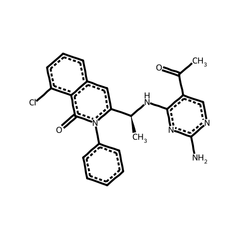 CC(=O)c1cnc(N)nc1N[C@@H](C)c1cc2cccc(Cl)c2c(=O)n1-c1ccccc1